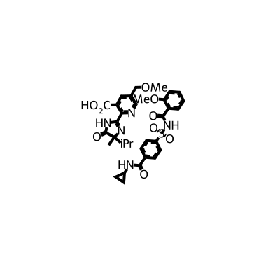 COCc1cnc(C2=NC(C)(C(C)C)C(=O)N2)c(C(=O)O)c1.COc1ccccc1C(=O)NS(=O)(=O)c1ccc(C(=O)NC2CC2)cc1